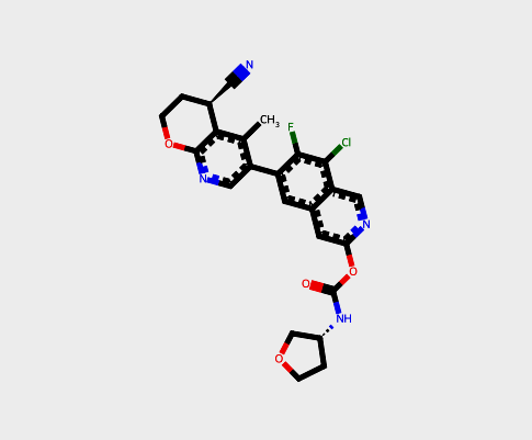 Cc1c(-c2cc3cc(OC(=O)N[C@@H]4CCOC4)ncc3c(Cl)c2F)cnc2c1[C@H](C#N)CCO2